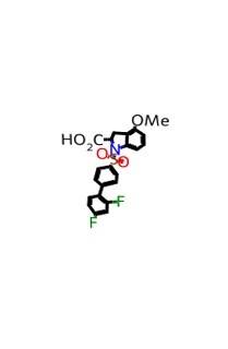 COc1cccc2c1CC(C(=O)O)N2S(=O)(=O)c1ccc(-c2ccc(F)cc2F)cc1